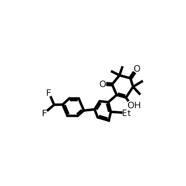 CCc1ccc(-c2ccc(C(F)F)cc2)cc1C1=C(O)C(C)(C)C(=O)C(C)(C)C1=O